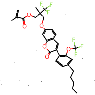 C=C(C)C(=O)OCC(C)(COc1ccc2cc(-c3ccc(CCCCC)cc3OC(F)(F)F)c(=O)oc2c1)C(F)(F)F